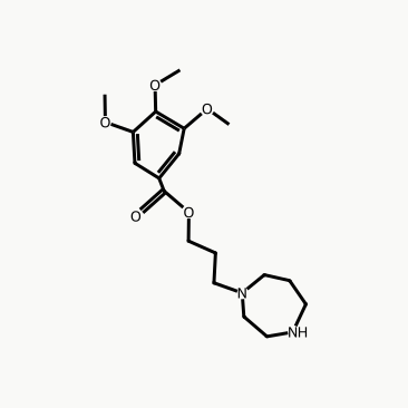 COc1cc(C(=O)OCCCN2CCCNCC2)cc(OC)c1OC